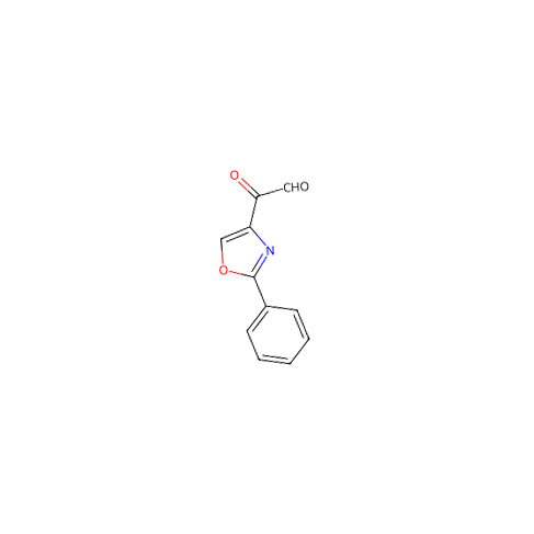 O=CC(=O)c1coc(-c2ccccc2)n1